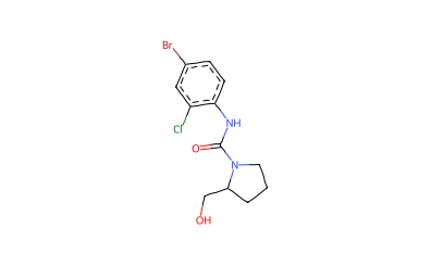 O=C(Nc1ccc(Br)cc1Cl)N1CCCC1CO